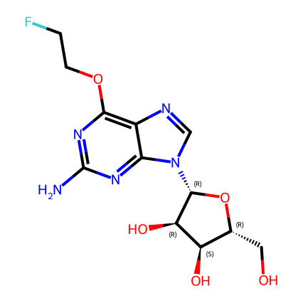 Nc1nc(OCCF)c2ncn([C@@H]3O[C@H](CO)[C@@H](O)[C@H]3O)c2n1